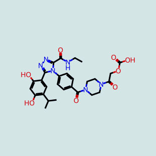 CCNC(=O)c1nnc(-c2cc(C(C)C)c(O)cc2O)n1-c1ccc(C(=O)N2CCN(C(=O)COC(=O)O)CC2)cc1